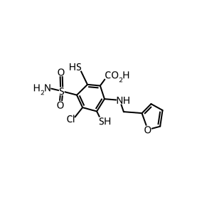 NS(=O)(=O)c1c(S)c(C(=O)O)c(NCc2ccco2)c(S)c1Cl